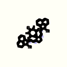 CCn1/c(=C\C=C2\CC/C(=C/C=c3/c4cccc5cccc(c54)n3CC)C23C2C(=O)N(C)C(=O)N(C)C(=O)C23)c2cccc3cccc1c32